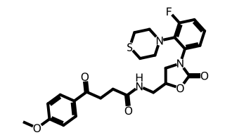 COc1ccc(C(=O)CCC(=O)NCC2CN(c3cccc(F)c3N3CCSCC3)C(=O)O2)cc1